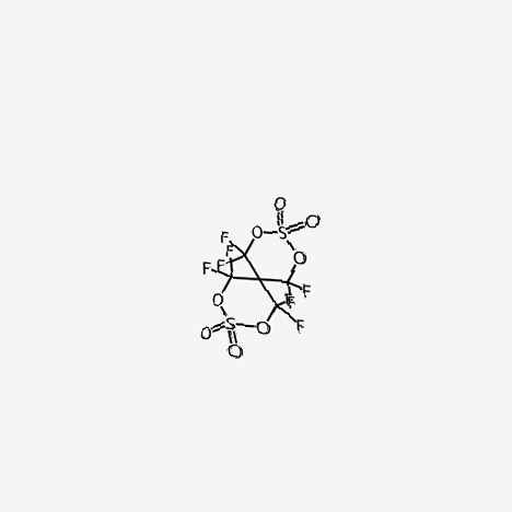 O=S1(=O)OC(F)(F)C2(C(F)(F)O1)C(F)(F)OS(=O)(=O)OC2(F)F